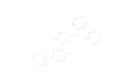 Cc1ccc2c(n1)c(-c1ccc(C)c(-c3cc(-c4ccccn4)ccc3C)c1)cc1ncccc12